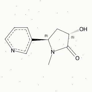 CN1C(=O)[C@@H](O)C[C@@H]1c1cccnc1